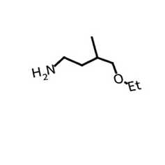 CCOCC(C)CCN